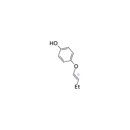 CC/C=C/Oc1ccc(O)cc1